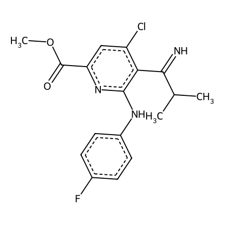 COC(=O)c1cc(Cl)c(C(=N)C(C)C)c(Nc2ccc(F)cc2)n1